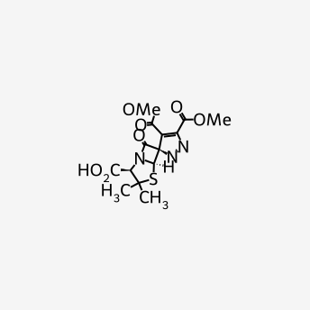 COC(=O)C1=C(C(=O)OC)[C@@]2(N=N1)C(=O)N1[C@H](C(=O)O)C(C)(C)S[C@@H]12